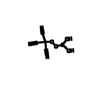 N#CC(C#N)(C#N)OOB(O)O